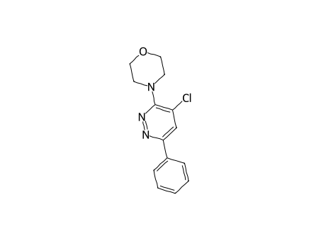 Clc1cc(-c2ccccc2)nnc1N1CCOCC1